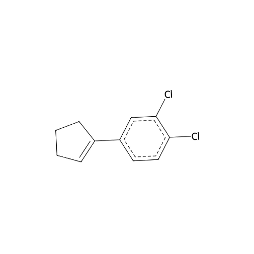 Clc1ccc(C2=CCCC2)cc1Cl